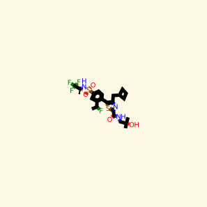 CC(F)c1cc(S(=O)(=O)N[C@@H](C)C(F)(F)F)ccc1-c1sc(C(=O)NCC(C)(C)O)nc1CC1CCC1